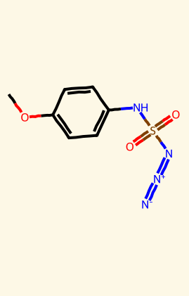 COc1ccc(NS(=O)(=O)N=[N+]=[N-])cc1